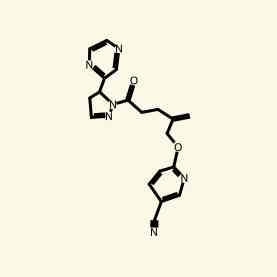 C=C(CCC(=O)N1N=CCC1c1cnccn1)COc1ccc(C#N)cn1